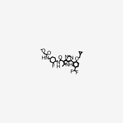 COCC(=O)NC1CCC(NC(=O)c2c(C)[nH]c3c(-c4cc(C(F)F)ccc4OCC4CC4)ncnc23)C(F)C1